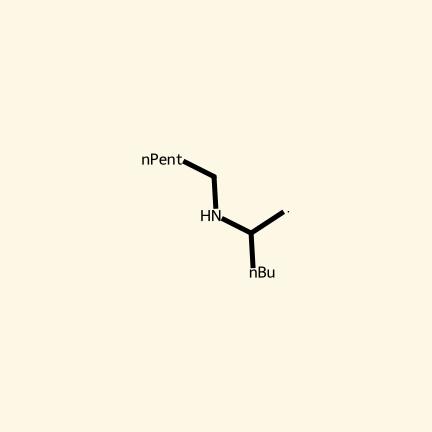 [CH2]C(CCCC)NCCCCCC